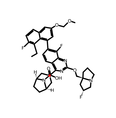 CCc1c(F)ccc2cc(OCOC)cc(-c3ccc4c(N5C[C@H]6CC[C@@H](C5)N6C(=O)O)nc(OC[C@@]56CCCN5C[C@H](F)C6)nc4c3F)c12